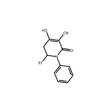 CCC1CC(O)=C(C#N)C(=O)N1c1ccccc1